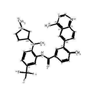 Cc1ccc(C(=O)Nc2cc(C(F)(F)F)ccc2N(C)C2CCN(C)C2)cc1-c1ccc2ncnc(N)c2c1